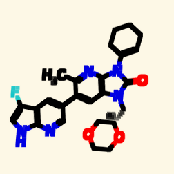 Cc1nc2c(cc1-c1cnc3[nH]cc(F)c3c1)n(C[C@H]1COCCO1)c(=O)n2C1=CCCCC1